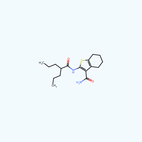 CCCC(CCC)C(=O)Nc1sc2c(c1C(N)=O)CCCC2